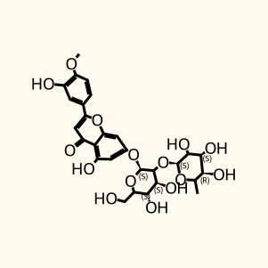 COc1ccc(-c2cc(=O)c3c(O)cc(O[C@@H]4OC(CO)[C@@H](O)[C@H](O)C4O[C@@H]4OC(C)[C@H](O)[C@H](O)C4O)cc3o2)cc1O